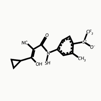 Cc1cc(N(S)C(=O)C(C#N)=C(O)C2CC2)ccc1[S+]([O-])C(F)(F)F